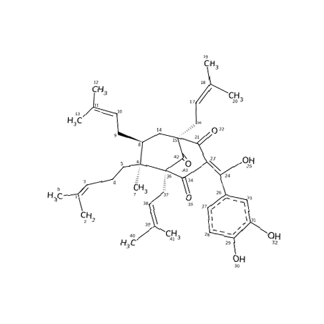 CC(C)=CCC[C@@]1(C)[C@@H](CC=C(C)C)C[C@@]2(CC=C(C)C)C(=O)C(=C(O)c3ccc(O)c(O)c3)C(=O)[C@]1(CC=C(C)C)C2=O